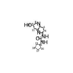 O=C(Nc1ccc2ncc(O)cc2n1)NC1CCCC1